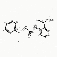 COC(=O)c1ccccc1NC(=O)NCc1ccccc1